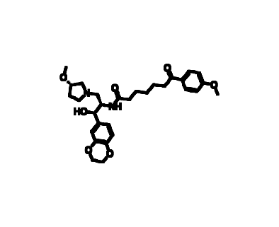 COc1ccc(C(=O)CCCCCC(=O)N[C@H](CN2CC[C@H](OC)C2)[C@H](O)c2ccc3c(c2)OCCO3)cc1